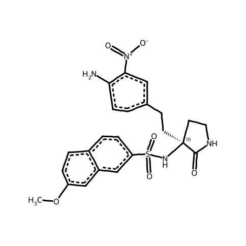 COc1ccc2ccc(S(=O)(=O)N[C@@]3(CCc4ccc(N)c([N+](=O)[O-])c4)CCNC3=O)cc2c1